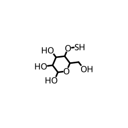 OCC1OC(O)C(O)C(O)C1OS